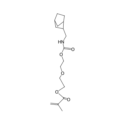 C=C(C)C(=O)OCCOCCOC(=O)NCC1CC2CCC1C2